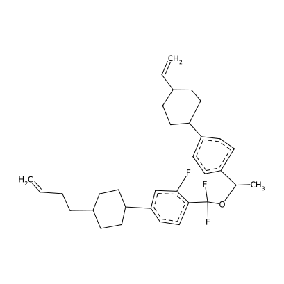 C=CCCC1CCC(c2ccc(C(F)(F)OC(C)c3ccc(C4CCC(C=C)CC4)cc3)c(F)c2)CC1